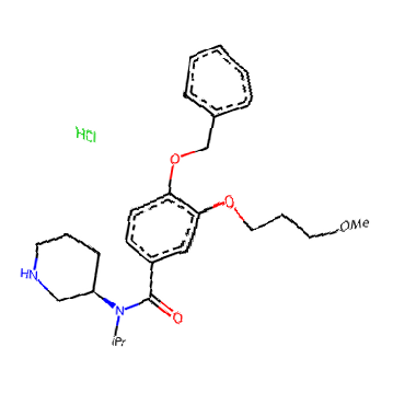 COCCCOc1cc(C(=O)N(C(C)C)[C@@H]2CCCNC2)ccc1OCc1ccccc1.Cl